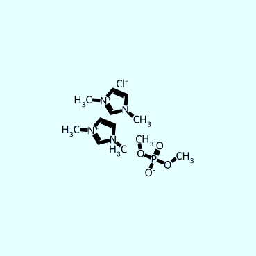 COP(=O)([O-])OC.Cn1cc[n+](C)c1.Cn1cc[n+](C)c1.[Cl-]